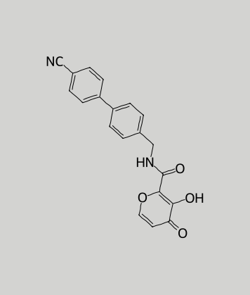 N#Cc1ccc(-c2ccc(CNC(=O)c3occc(=O)c3O)cc2)cc1